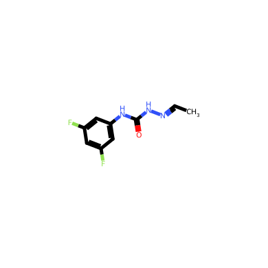 C/C=N/NC(=O)Nc1cc(F)cc(F)c1